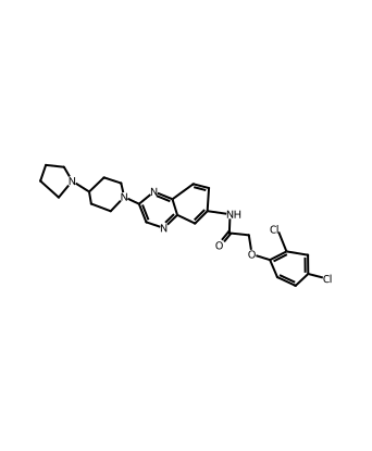 O=C(COc1ccc(Cl)cc1Cl)Nc1ccc2nc(N3CCC(N4CCCC4)CC3)cnc2c1